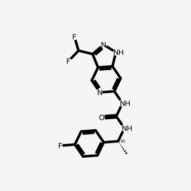 C[C@@H](NC(=O)Nc1cc2[nH]nc(C(F)F)c2cn1)c1ccc(F)cc1